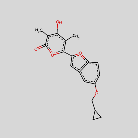 Cc1c(-c2cc3cc(OCC4CC4)ccc3o2)oc(=O)c(C)c1O